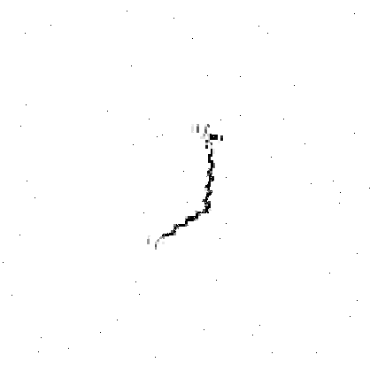 [CH2]C(=O)OCCCCCCCC/C=C\CCCCCCCC